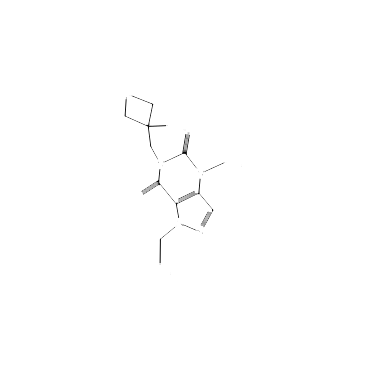 Cn1c(=O)n(CC2(C)COC2)c(=O)c2c1cnn2CC(F)(F)F